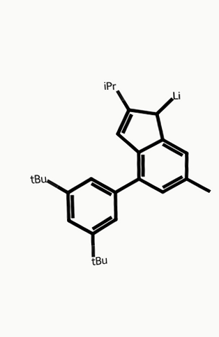 [Li][CH]1C(C(C)C)=Cc2c(-c3cc(C(C)(C)C)cc(C(C)(C)C)c3)cc(C)cc21